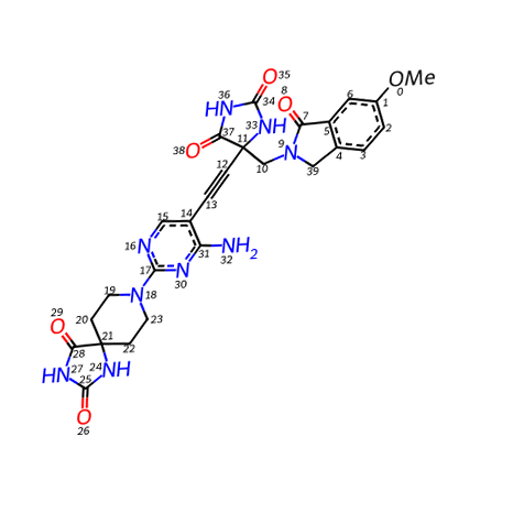 COc1ccc2c(c1)C(=O)N(CC1(C#Cc3cnc(N4CCC5(CC4)NC(=O)NC5=O)nc3N)NC(=O)NC1=O)C2